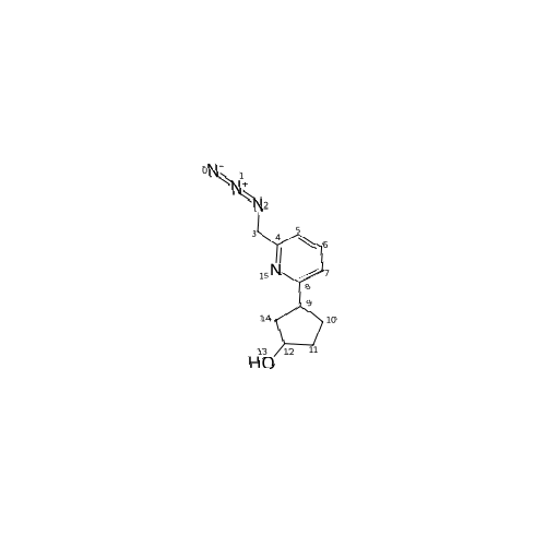 [N-]=[N+]=NCc1cccc(C2CCC(O)C2)n1